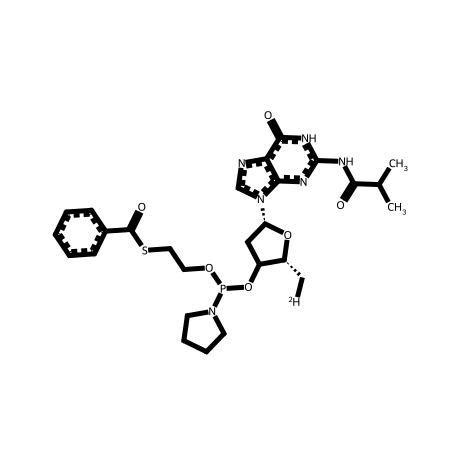 [2H]C[C@H]1O[C@@H](n2cnc3c(=O)[nH]c(NC(=O)C(C)C)nc32)CC1OP(OCCSC(=O)c1ccccc1)N1CCCC1